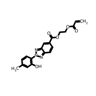 C=CC(=O)OCCOC(=O)c1ccc2nn(-c3ccc(C)cc3O)nc2c1